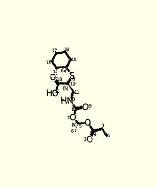 CCC(=O)O[C@H](C)OC(=O)NC[C@H](SC1CCCCC1)C(=O)O